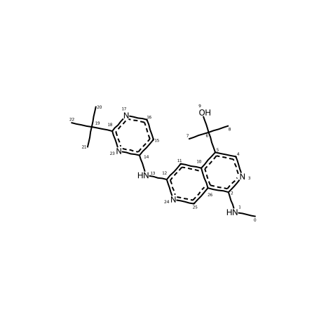 CNc1ncc(C(C)(C)O)c2cc(Nc3ccnc(C(C)(C)C)n3)ncc12